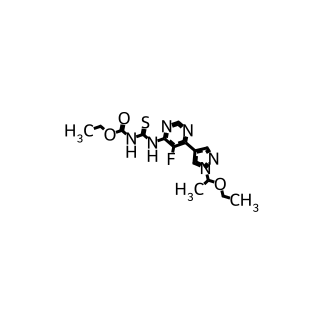 CCOC(=O)NC(=S)Nc1ncnc(-c2cnn(C(C)OCC)c2)c1F